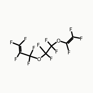 FC(F)=C(F)OC(F)(F)C(F)(F)OC(F)(F)C(F)=C(F)F